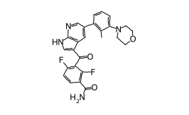 Cc1c(-c2cnc3[nH]cc(C(=O)c4c(F)ccc(C(N)=O)c4F)c3c2)cccc1N1CCOCC1